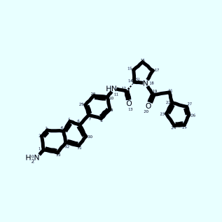 Nc1ccc2cc(-c3ccc(NC(=O)[C@@H]4CCCN4C(=O)Cc4ccccc4)cc3)ccc2c1